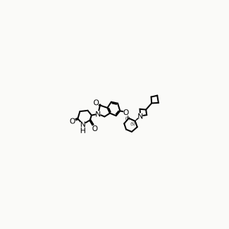 O=C1CCC(N2Cc3cc(O[C@H]4CCCC[C@@H]4N4CC(C5CCC5)C4)ccc3C2=O)C(=O)N1